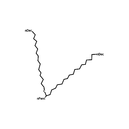 [CH2]CCCC[C](CCCCCCCCCCCCCCCCCCCCCCCCCC)CCCCCCCCCCCCCCCCCCCCCCCCCC